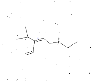 C=C/C(=C\CPCC)C(C)C